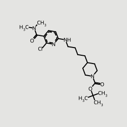 CN(C)C(=O)c1ccc(NCCCCC2CCN(C(=O)OC(C)(C)C)CC2)nc1Cl